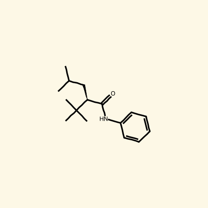 CC(C)C[C@@H](C(=O)Nc1ccccc1)C(C)(C)C